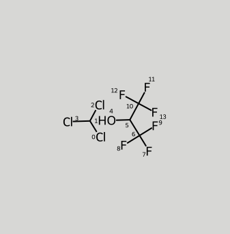 ClC(Cl)Cl.OC(C(F)(F)F)C(F)(F)F